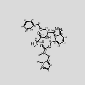 CN(Cc1ccnn1C)C(=O)OCc1cccc2nnc([C@@H](COCc3ccccc3)NC(=O)C(C)(C)N)n12